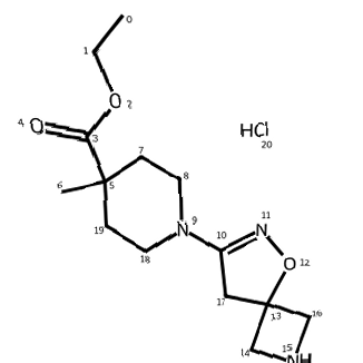 CCOC(=O)C1(C)CCN(C2=NOC3(CNC3)C2)CC1.Cl